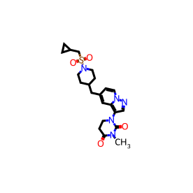 CN1C(=O)CCN(c2cnn3ccc(CC4CCN(S(=O)(=O)CC5CC5)CC4)cc23)C1=O